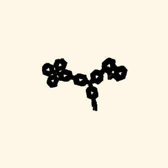 N#Cc1ccc(N(c2ccc(-c3ccc([Si](c4ccccc4)(c4ccccc4)c4ccccc4)cc3)cc2)c2ccc(-c3cccc4c3oc3ccccc34)cc2)cc1